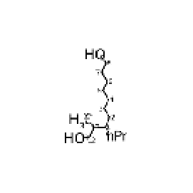 CCCC(CCCCCCCO)C(C)CO